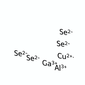 [Al+3].[Cu+2].[Ga+3].[Se-2].[Se-2].[Se-2].[Se-2]